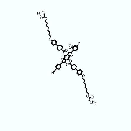 C=CC(=O)OCCCCCCCCOc1ccc(C2CCC(C(=O)Oc3c4cc(-c5ccc(F)cc5C)sc4c(OC(=O)C4CCC(c5ccc(OCCCCCCCCOC(=O)C=C)cc5)CC4)c4cc(-c5ccc(C#N)cc5)sc34)CC2)cc1